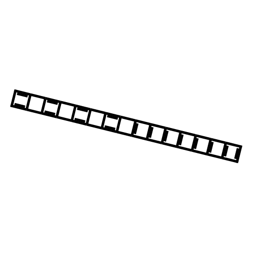 c1cc2c1c1c2c2c1c1c2c2c1c1c2c2c1c1c3c4c5c6c7c8ccc8c7c6c5c4c3c21